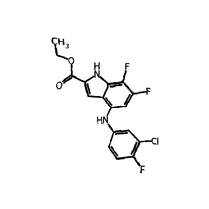 CCOC(=O)c1cc2c(Nc3ccc(F)c(Cl)c3)cc(F)c(F)c2[nH]1